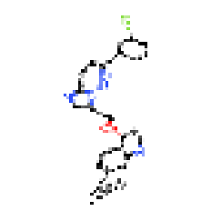 COc1ccc2c(OCc3cnc4ccc(-c5cccc(F)c5)nn34)ccnc2c1